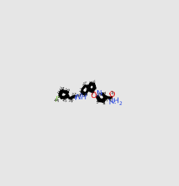 NC(=O)c1ccc(Oc2cccc3c2CC(NCCc2cccc(F)c2)CC3)nc1